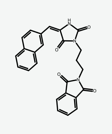 O=C1NC(=Cc2ccc3ccccc3c2)C(=O)N1CCCN1C(=O)c2ccccc2C1=O